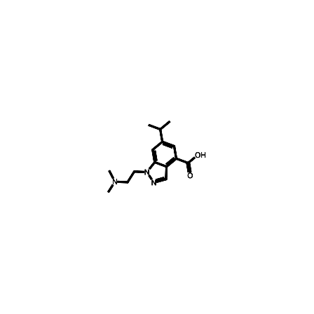 CC(C)c1cc(C(=O)O)c2cnn(CCN(C)C)c2c1